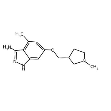 Cc1cc(OCC2CCN(C)C2)cc2[nH]nc(N)c12